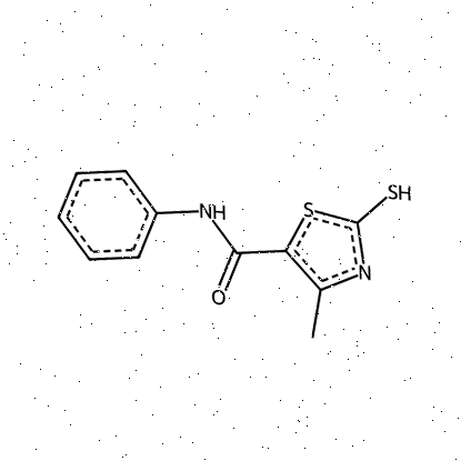 Cc1nc(S)sc1C(=O)Nc1ccccc1